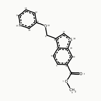 COC(=O)c1ccc2c(COc3cccnc3)csc2c1